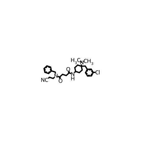 CN(C)C1(Cc2cccc(Cl)c2)CCC(NC(=O)CCC(=O)N(CCC#N)Cc2ccccc2)CC1